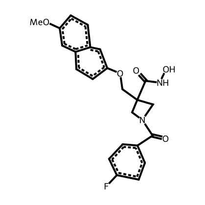 COc1ccc2cc(OCC3(C(=O)NO)CN(C(=O)c4ccc(F)cc4)C3)ccc2c1